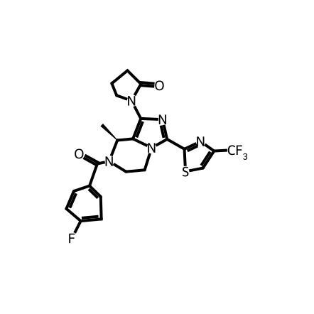 C[C@H]1c2c(N3CCCC3=O)nc(-c3nc(C(F)(F)F)cs3)n2CCN1C(=O)c1ccc(F)cc1